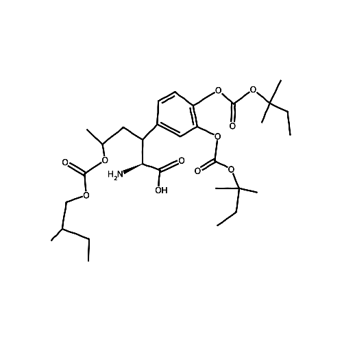 CCC(C)COC(=O)OC(C)CC(c1ccc(OC(=O)OC(C)(C)CC)c(OC(=O)OC(C)(C)CC)c1)[C@H](N)C(=O)O